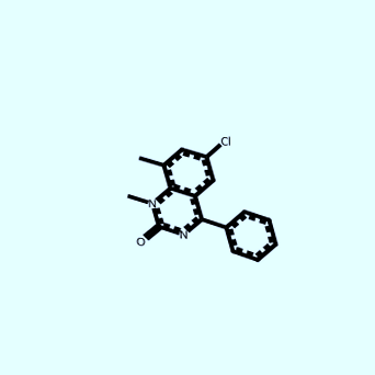 Cc1cc(Cl)cc2c(-c3ccccc3)nc(=O)n(C)c12